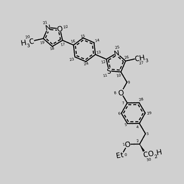 CCO[C@@H](Cc1ccc(OCc2sc(-c3ccc(-c4cc(C)no4)cc3)nc2C)cc1)C(=O)O